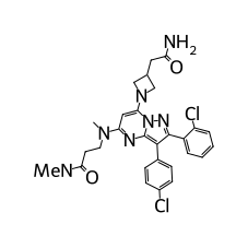 CNC(=O)CCN(C)c1cc(N2CC(CC(N)=O)C2)n2nc(-c3ccccc3Cl)c(-c3ccc(Cl)cc3)c2n1